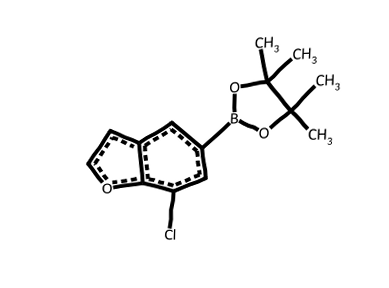 CC1(C)OB(c2cc(Cl)c3occc3c2)OC1(C)C